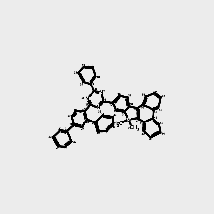 C[Si]1(C)c2cc(-c3nc(-c4ccccc4)nc(-c4ccc(-c5ccccc5)cc4-c4ccccc4)n3)ccc2-c2c1c1ccccc1c1ccccc21